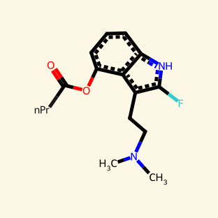 CCCC(=O)Oc1cccc2[nH]c(F)c(CCN(C)C)c12